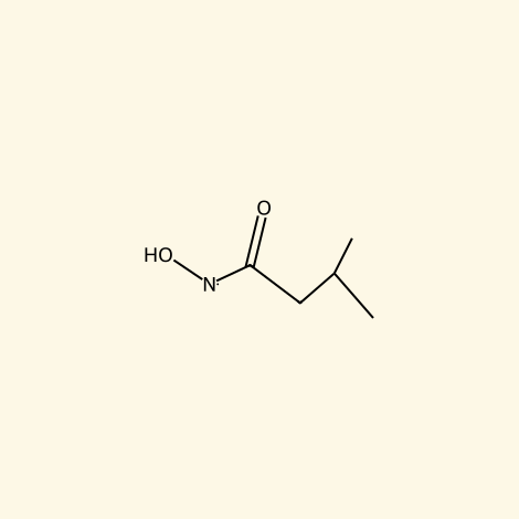 CC(C)CC(=O)[N]O